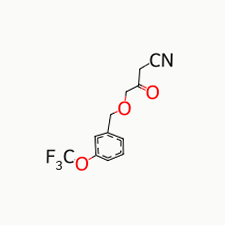 N#CCC(=O)COCc1cccc(OC(F)(F)F)c1